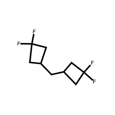 FC1(F)CC(CC2CC(F)(F)C2)C1